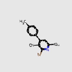 [C-]#[N+]c1c(-c2ccc(C)cc2)cc(C(C)(C)C)nc1Br